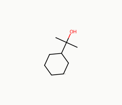 CC(C)(O)C1C[CH]CCC1